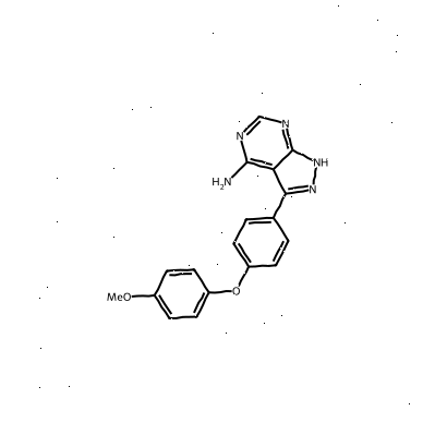 COc1ccc(Oc2ccc(-c3n[nH]c4ncnc(N)c34)cc2)cc1